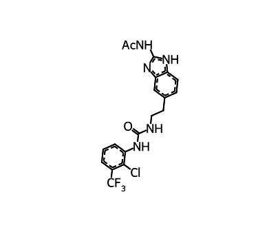 CC(=O)Nc1nc2cc(CCNC(=O)Nc3cccc(C(F)(F)F)c3Cl)ccc2[nH]1